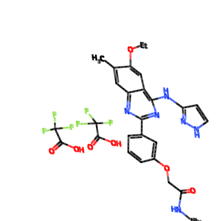 CCOc1cc2c(Nc3cc[nH]n3)nc(-c3cccc(OCC(=O)NC(C)(C)C)c3)nc2cc1C.O=C(O)C(F)(F)F.O=C(O)C(F)(F)F